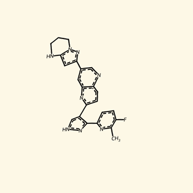 Cc1nc(-c2n[nH]cc2-c2ccc3ncc(-c4cc5n(n4)CCCN5)cc3n2)ccc1F